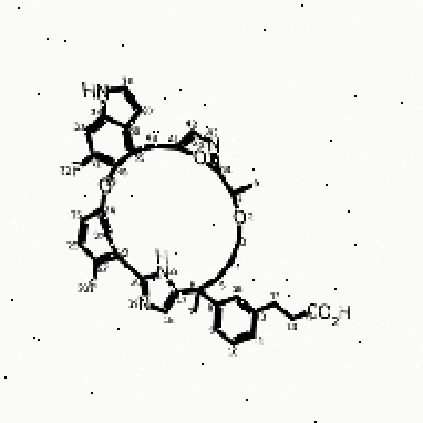 CC1OCCCC(C)(c2cccc(CCC(=O)O)c2)c2cnc([nH]2)-c2cc(ccc2F)Oc2c(F)cc3[nH]ccc3c2Cc2cnc1o2